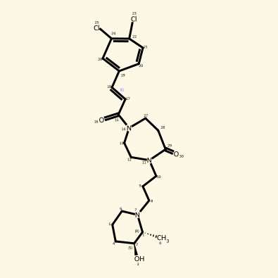 C[C@@H]1[C@@H](O)CCCN1CCCN1CCN(C(=O)/C=C/c2ccc(Cl)c(Cl)c2)CCC1=O